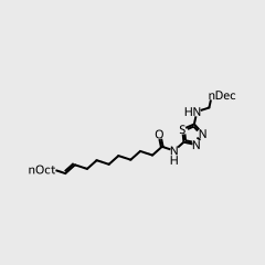 CCCCCCCCC=CCCCCCCCC(=O)Nc1nnc(NCCCCCCCCCCC)s1